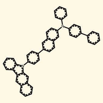 c1ccc(-c2ccc(N(c3ccccc3)c3ccc4cc(-c5ccc(-n6c7ccccc7c7cc8ccccc8cc76)cc5)ccc4c3)cc2)cc1